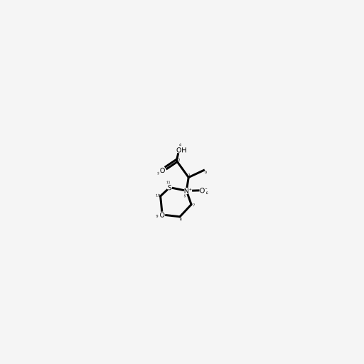 CC(C(=O)O)[N+]1([O-])CCOCS1